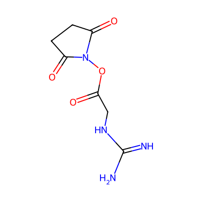 N=C(N)NCC(=O)ON1C(=O)CCC1=O